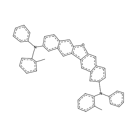 Cc1ccccc1N(c1ccccc1)c1ccc2cc3oc4cc5ccc(N(c6ccccc6)c6ccccc6C)cc5cc4c3cc2c1